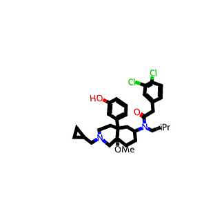 COC12CCC(N(CC(C)C)C(=O)Cc3ccc(Cl)c(Cl)c3)CC1(c1cccc(O)c1)CCN(CC1CC1)C2